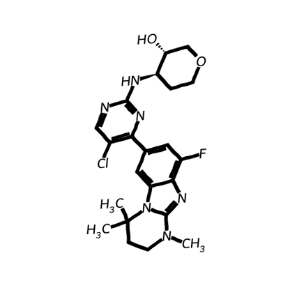 CN1CCC(C)(C)n2c1nc1c(F)cc(-c3nc(N[C@@H]4CCOC[C@H]4O)ncc3Cl)cc12